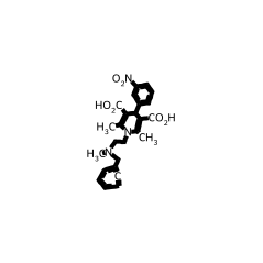 CC1=C(C(=O)O)C(c2cccc([N+](=O)[O-])c2)C(C(=O)O)=C(C)N1CCN(C)Cc1ccccc1